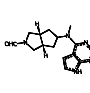 CN(c1ncnc2[nH]ccc12)C1C[C@@H]2CN(C=O)C[C@@H]2C1